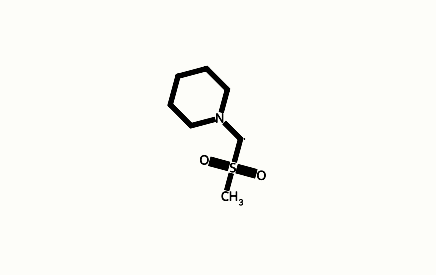 CS(=O)(=O)[CH]N1CCCCC1